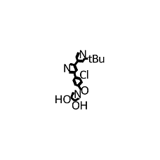 CC(C)(C)c1cc(-c2cncc(-c3ccc(C(=O)N4CC(O)C(O)C4)cc3Cl)c2)ccn1